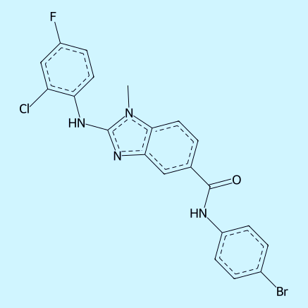 Cn1c(Nc2ccc(F)cc2Cl)nc2cc(C(=O)Nc3ccc(Br)cc3)ccc21